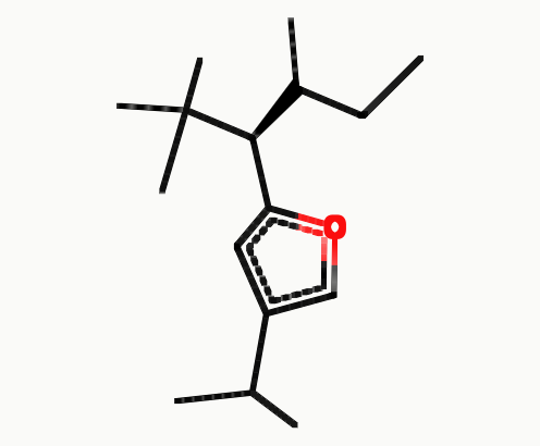 CCC(C)[C@@H](c1cc(C(C)C)co1)C(C)(C)C